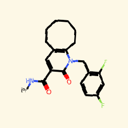 CC(C)NC(=O)c1cc2c(n(Cc3ccc(F)cc3F)c1=O)CCCCCC2